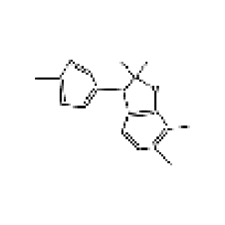 Cc1ccc(C2c3ccc(C)c(C)c3OC2(C)C)cc1